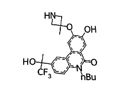 CCCCn1c(=O)c2cc(O)c(OC3(C)CNC3)cc2c2cc(C(C)(O)C(F)(F)F)ccc21